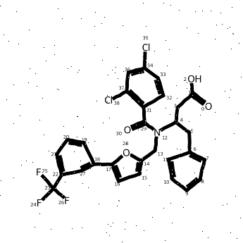 O=C(O)CC(Cc1ccccc1)N(Cc1ccc(-c2cccc(C(F)(F)F)c2)o1)C(=O)c1ccc(Cl)cc1Cl